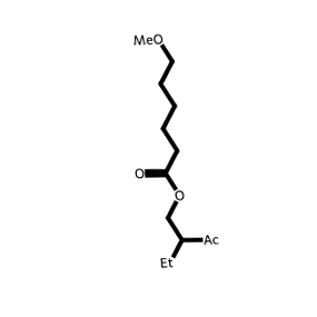 CCC(COC(=O)CCCCCOC)C(C)=O